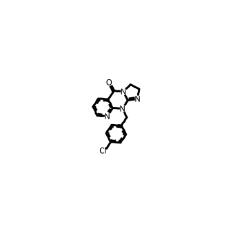 O=C1c2cccnc2N(Cc2ccc(Cl)cc2)C2=NCCN12